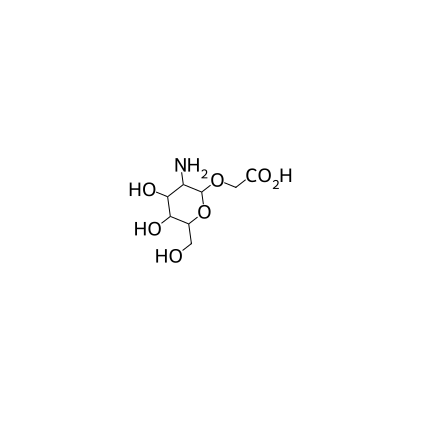 NC1C(OCC(=O)O)OC(CO)C(O)C1O